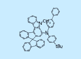 Cn1c2ccccc2c2c3c(cc(N(c4ccc(-c5ccccc5)cc4)c4ccc(C(C)(C)C)cc4)c21)C1(c2ccccc2-c2ccccc21)c1ccccc1-3